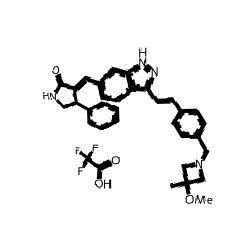 COC1(C)CN(Cc2ccc(/C=C/c3n[nH]c4cc(/C=C5/C(=O)NCC5c5ccccc5)ccc34)cc2)C1.O=C(O)C(F)(F)F